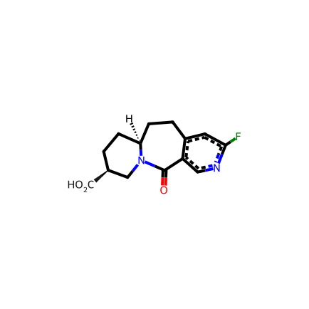 O=C(O)[C@H]1CC[C@H]2CCc3cc(F)ncc3C(=O)N2C1